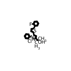 CC(C)(O)c1cc(-c2ccc(-c3ccccc3F)s2)n(-c2ccccc2Cl)n1